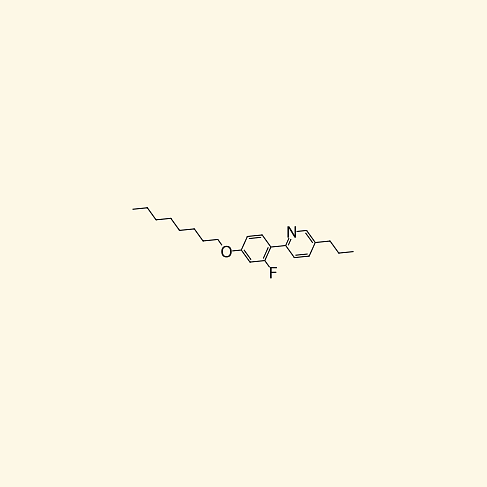 CCCCCCCCOc1ccc(-c2ccc(CCC)cn2)c(F)c1